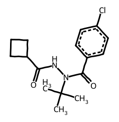 CC(C)(C)N(NC(=O)C1CCC1)C(=O)c1ccc(Cl)cc1